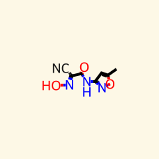 Cc1cc(NC(=O)C(C#N)=NO)no1